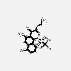 CCOC(=O)C(=O)c1c(C)cc2c(Br)cccc2c1OS(=O)(=O)C(F)(F)F